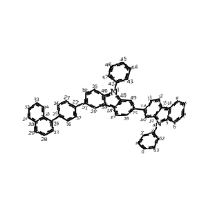 c1ccc(-n2c3ccccc3c3ccc(-c4ccc5c6cc(-c7ccc(-c8cccc9ccccc89)cc7)ccc6n(-c6ccccc6)c5c4)cc32)cc1